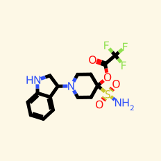 NS(=O)(=O)C1(OC(=O)C(F)(F)F)CCN(C2CNc3ccccc32)CC1